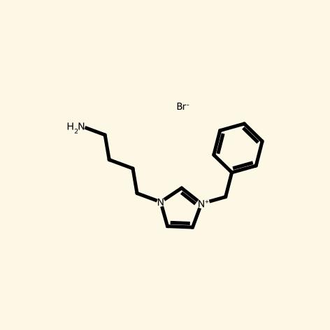 NCCCCn1cc[n+](Cc2ccccc2)c1.[Br-]